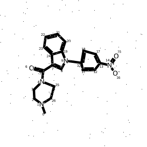 CN1CCN(C(=O)c2cn(-c3ccc([N+](=O)[O-])cc3)c3ccccc23)CC1